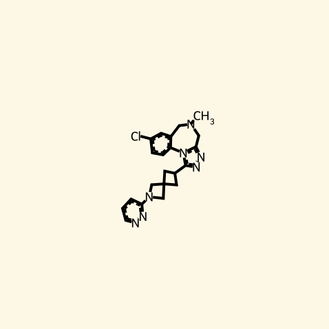 CN1Cc2cc(Cl)ccc2-n2c(nnc2C2CC3(C2)CN(c2cccnn2)C3)C1